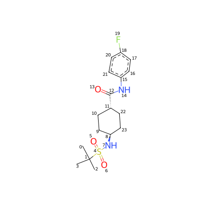 CC(C)(C)S(=O)(=O)N[C@H]1CC[C@H](C(=O)Nc2ccc(F)cc2)CC1